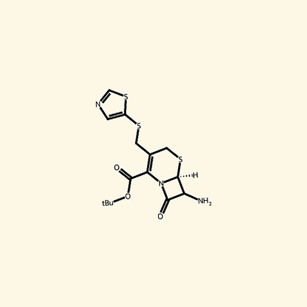 CC(C)(C)OC(=O)C1=C(CSc2cncs2)CS[C@H]2C(N)C(=O)N12